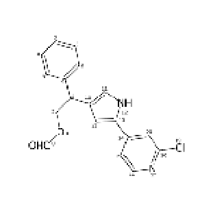 O=COCC(c1ccccc1)c1c[nH]c(-c2ccnc(Cl)c2)c1